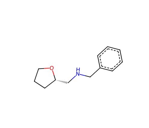 c1ccc(CNC[C@@H]2CCCO2)cc1